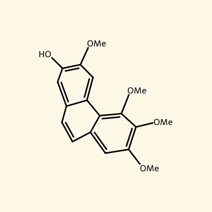 COc1cc2c(ccc3cc(OC)c(OC)c(OC)c32)cc1O